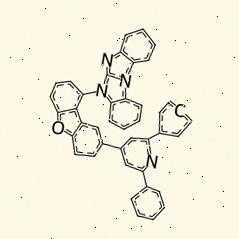 c1ccc(-c2cc(-c3ccc4oc5cccc(-n6c7ccccc7n7c8ccccc8nc67)c5c4c3)cc(-c3ccccc3)n2)cc1